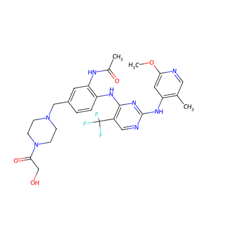 COc1cc(Nc2ncc(C(F)(F)F)c(Nc3ccc(CN4CCN(C(=O)CO)CC4)cc3NC(C)=O)n2)c(C)cn1